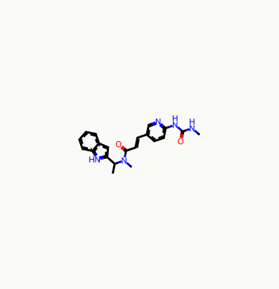 CNC(=O)Nc1ccc(C=CC(=O)N(C)C(C)c2cc3ccccc3[nH]2)cn1